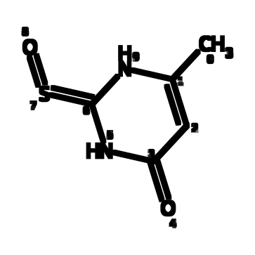 Cc1cc(=O)[nH]c(=S=O)[nH]1